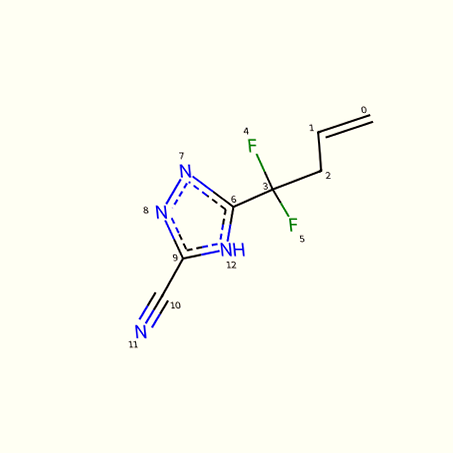 C=CCC(F)(F)c1nnc(C#N)[nH]1